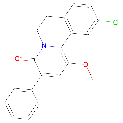 COc1cc(-c2ccccc2)c(=O)n2c1-c1cc(Cl)ccc1CC2